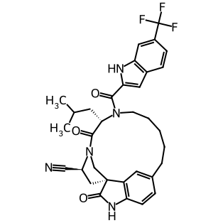 CC(C)C[C@H]1C(=O)N2C[C@]3(C[C@H]2C#N)C(=O)Nc2ccc(cc23)CCCCCN1C(=O)c1cc2ccc(C(F)(F)F)cc2[nH]1